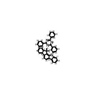 CC1(C)c2ccccc2-c2ccc3c4ccccc4n(-c4cccc(-c5nc(-c6ccccc6)nc(-c6ccccc6)n5)c4)c3c21